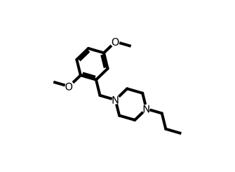 CCCN1CCN(Cc2cc(OC)ccc2OC)CC1